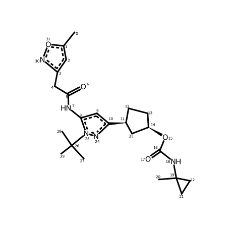 Cc1cc(CC(=O)Nc2cc([C@H]3CC[C@@H](OC(=O)NC4(C)CC4)C3)nn2C(C)(C)C)no1